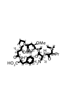 CC[C@H](C)[C@@H]([C@@H](CC(=O)N1CCC[C@H]1[C@H](OC)[C@@H](C)C(=O)N[C@@H](Cc1ccccc1)C(=O)O)OC)N(C)C(=O)[C@H](NC(=O)[C@H](C(C)C)N(C)C)[C@H](C)N